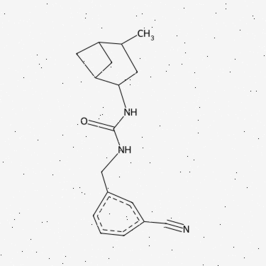 CC1CC(NC(=O)NCc2cccc(C#N)c2)C2CC1C2